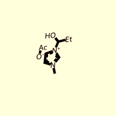 CC(=O)[O-].CCC(O)[n+]1ccn(C)c1